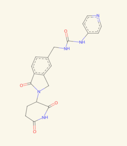 O=C1CCC(N2Cc3cc(CNC(=O)Nc4ccncc4)ccc3C2=O)C(=O)N1